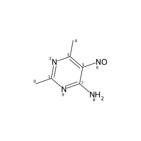 Cc1nc(C)c(N=O)c(N)n1